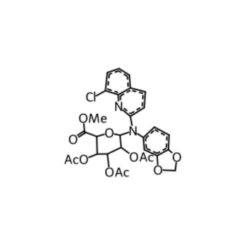 COC(=O)C1OC(N(c2ccc3c(c2)OCO3)c2ccc3cccc(Cl)c3n2)C(OC(C)=O)C(OC(C)=O)C1OC(C)=O